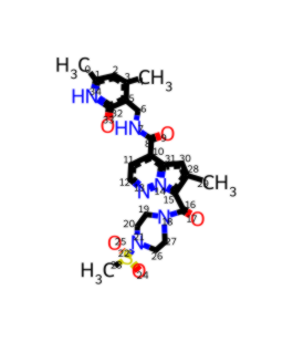 Cc1cc(C)c(CNC(=O)c2ccnn3c(C(=O)N4CCN(S(C)(=O)=O)CC4)c(C)cc23)c(=O)[nH]1